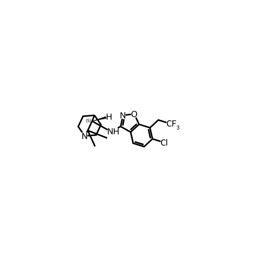 CC1(C)[C@@H](Nc2noc3c(CC(F)(F)F)c(Cl)ccc23)C2CCN1CC2